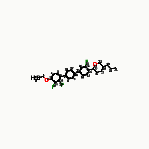 BCOc1ccc(-c2ccc(-c3ccc(C4CCC(CCC)CO4)c(F)c3)cc2)c(F)c1F